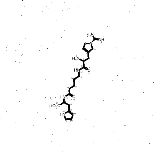 N=C(N)N1CC=C(CC(N)C(=O)NCCCCC(=O)NC(Cc2ccc[nH]2)C(=O)O)C1